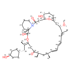 CO[C@H]1C[C@@H]2CC[C@@H](C)[C@](O)(CC(=O)N3CCCC[C@H]3C(=O)OC([C@H](C)C[C@H]3CC[C@H](O)CC3)CC(=O)[C@H](C)C[C@H](C)/C=C/C=C/C=C/1C)O2